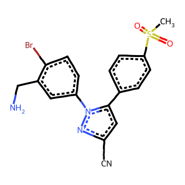 CS(=O)(=O)c1ccc(-c2cc(C#N)nn2-c2ccc(Br)c(CN)c2)cc1